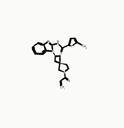 C=CC(=O)N1CC[C@]2(C1)C[C@H](n1c(NC(=O)c3ccc(C)s3)nc3ccccc31)C2